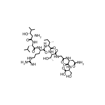 CC[C@H](C)[C@H](NC(=O)[C@@H](CCCNC(=N)N)NC(=O)[C@H](CC(C)C)NC(=O)[C@@H](N)[C@H](O)C(C)C)C(=O)N[C@H](C(=O)NCC(=O)N[C@@H](CC(N)=O)C(=O)N[C@@H](CO)C(=O)O)[C@H](C)O